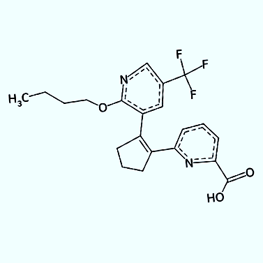 CCCCOc1ncc(C(F)(F)F)cc1C1=C(c2cccc(C(=O)O)n2)CCC1